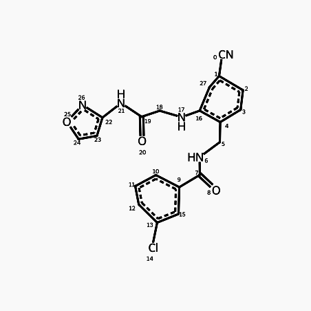 N#Cc1ccc(CNC(=O)c2cccc(Cl)c2)c(NCC(=O)Nc2ccon2)c1